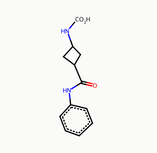 O=C(O)NC1CC(C(=O)Nc2ccccc2)C1